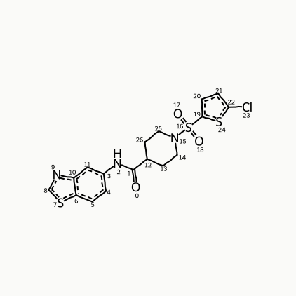 O=C(Nc1ccc2scnc2c1)C1CCN(S(=O)(=O)c2ccc(Cl)s2)CC1